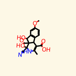 COc1ccc2c(c1)C(O)C1(C(=O)O)C2C(C(=O)O)=C(C)NC1(C)C#N